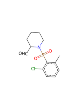 Cc1cccc(Cl)c1S(=O)(=O)N1CCCCC1C=O